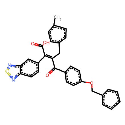 Cc1ccc(CC(C(=O)c2ccc(OCc3ccccc3)cc2)=C(C(=O)O)c2ccc3nsnc3c2)cc1